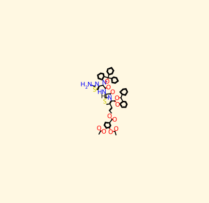 CC(=O)Oc1ccc(C(=O)OC/C=C/C2=C(C(=O)OC(c3ccccc3)c3ccccc3)N3C(=O)C(NC(=O)/C(=N\OC(c4ccccc4)(c4ccccc4)c4ccccc4)c4csc(N)n4)[C@H]3SC2)cc1OC(C)=O